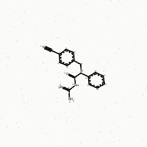 N#Cc1ccc(C[C@H](C(=O)NC(=N)N)c2ccccc2)cc1